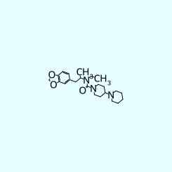 CCN(C(=O)N1CCC(N2CCCCC2)CC1)C(C)Cc1ccc2c(c1)OCO2